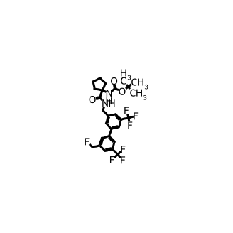 CC(C)(C)OC(=O)NC1(C(=O)NCc2cc(-c3cc(CF)cc(C(F)(F)F)c3)cc(C(F)(F)F)c2)CCCC1